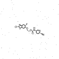 C[C@H](COc1cc2sc(Cl)nc2cc1F)OC(=O)Nc1ccc(C#N)nc1